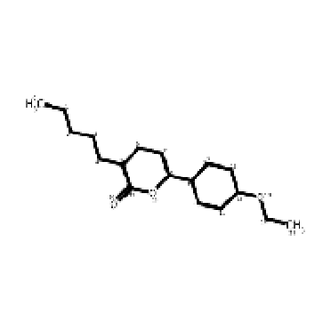 CCCCCC1CCC(C2CCC(OCC)CC2)OC1=O